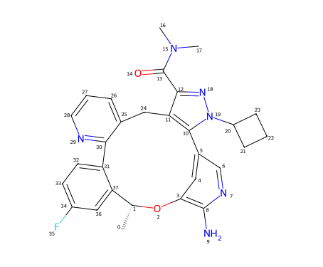 C[C@H]1Oc2cc(cnc2N)-c2c(c(C(=O)N(C)C)nn2C2CCC2)Cc2cccnc2-c2ccc(F)cc21